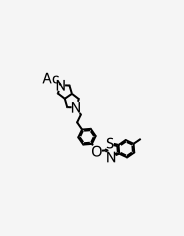 CC(=O)N1CC2CN(CCc3ccc(Oc4nc5ccc(C)cc5s4)cc3)CC2C1